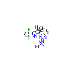 CCc1ncn(-c2nccc([C@]34CC[C@@H](c5cc(-c6c(F)cccc6F)nnc53)C4(C)C)n2)n1